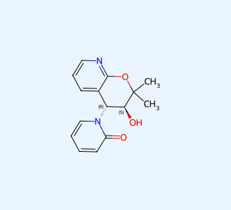 CC1(C)Oc2ncccc2[C@@H](n2ccccc2=O)[C@@H]1O